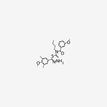 C=C(S/C(=N\N)c1cc(C)c(OC)c(C)c1)N(CCCC)C(=O)c1cccc(OC)c1